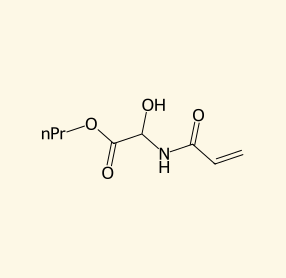 C=CC(=O)NC(O)C(=O)OCCC